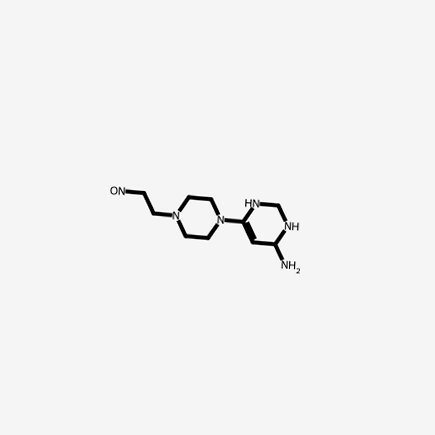 NC1C=C(N2CCN(CCN=O)CC2)NCN1